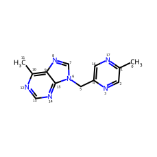 Cc1cnc(Cn2cnc3c(C)ncnc32)cn1